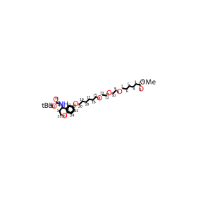 COC(=O)CCCCCOCCOCCOCCCCCCOc1ccc2c(c1)C(NC(=O)OC(C)(C)C)CCO2